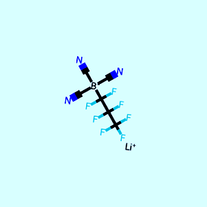 N#C[B-](C#N)(C#N)C(F)(F)C(F)(F)C(F)(F)F.[Li+]